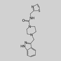 O=C(NCc1nccs1)N1CCN(Cc2n[nH]c3ccccc23)CC1